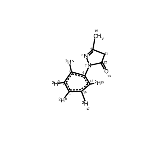 [2H]c1c([2H])c([2H])c(N2N=C(C)CC2=O)c([2H])c1[2H]